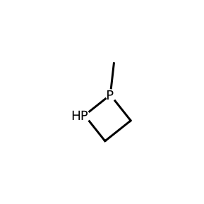 CP1CCP1